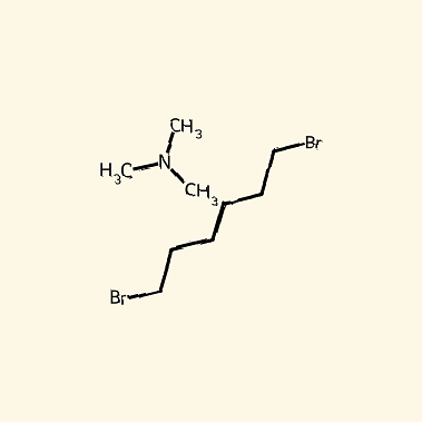 BrCCCCCCBr.CN(C)C